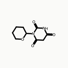 O=C1CC(=O)N(C2CCCCO2)C(=O)N1